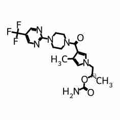 Cc1cn(C[C@H](C)OC(N)=O)cc1C(=O)N1CCN(c2ncc(C(F)(F)F)cn2)CC1